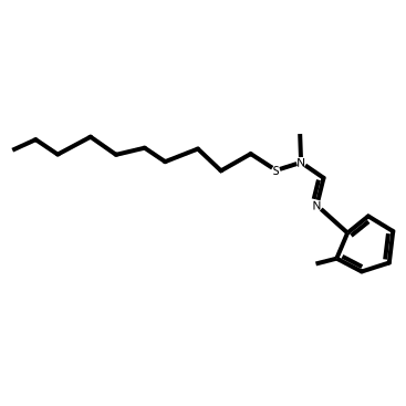 CCCCCCCCCCSN(C)C=Nc1ccccc1C